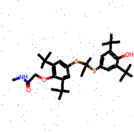 CNC(=O)COc1c(C(C)(C)C)cc(SC(C)(C)Sc2cc(C(C)(C)C)c(O)c(C(C)(C)C)c2)cc1C(C)(C)C